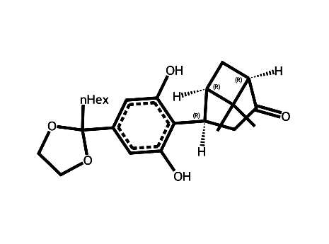 CCCCCCC1(c2cc(O)c([C@@H]3CC(=O)[C@@H]4C[C@H]3C4(C)C)c(O)c2)OCCO1